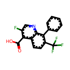 O=C(O)c1c(F)cnc2c(-c3ccccc3)c(C(F)(F)F)ccc12